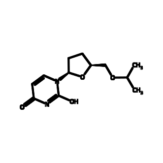 CC(C)OC[C@@H]1CC[C@H](n2ccc(=O)nc2O)O1